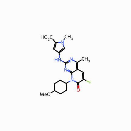 COC1CCC(n2c(=O)c(F)cc3c(C)nc(Nc4cc(C(=O)O)n(C)c4)nc32)CC1